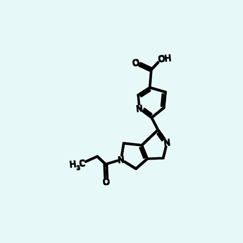 CCC(=O)N1CC2=C(C1)C(c1ccc(C(=O)O)cn1)=NC2